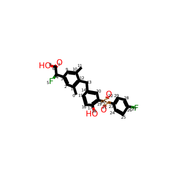 Cc1cc(C(F)C(=O)O)cc(C)c1Cc1ccc(O)c(S(=O)(=O)c2ccc(F)cc2)c1